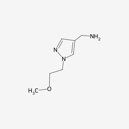 COCCn1cc(CN)cn1